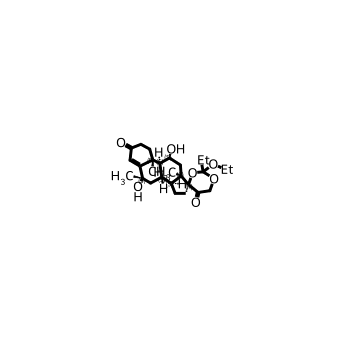 CCOC1(CC)OCC(=O)[C@]2(CC[C@H]3[C@@H]4C[C@](C)(O)C5=CC(=O)CC[C@]5(C)[C@H]4[C@@H](O)C[C@@]32C)O1